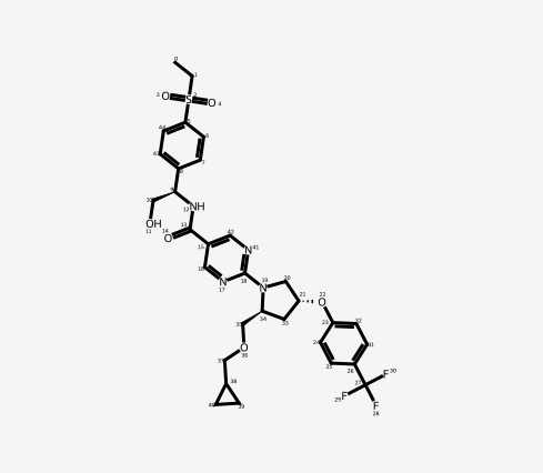 CCS(=O)(=O)c1ccc([C@H](CO)NC(=O)c2cnc(N3C[C@H](Oc4ccc(C(F)(F)F)cc4)C[C@H]3COCC3CC3)nc2)cc1